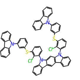 Clc1c(Sc2cccc(-n3c4ccccc4c4ccccc43)c2)cccc1-n1c2ccccc2c2cc3c4ccccc4n(-c4cccc(Sc5cccc(-n6c7ccccc7c7ccccc76)c5)c4Cl)c3cc21